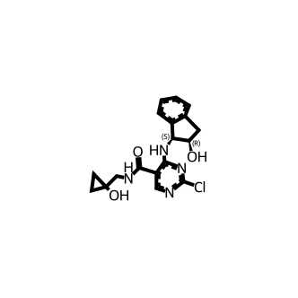 O=C(NCC1(O)CC1)c1cnc(Cl)nc1N[C@H]1c2ccccc2C[C@H]1O